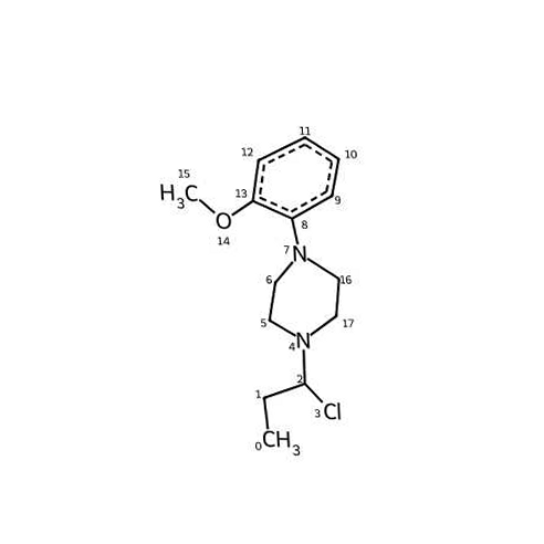 CCC(Cl)N1CCN(c2ccccc2OC)CC1